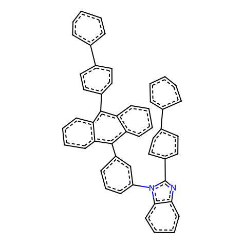 c1ccc(-c2ccc(-c3c4ccccc4c(-c4cccc(-n5c(-c6ccc(-c7ccccc7)cc6)nc6ccccc65)c4)c4ccccc34)cc2)cc1